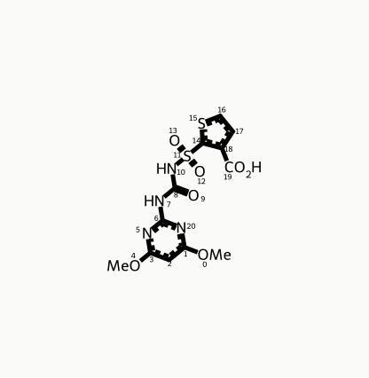 COc1cc(OC)nc(NC(=O)NS(=O)(=O)c2sccc2C(=O)O)n1